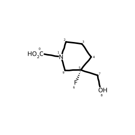 O=C(O)N1CCC[C@@](F)(CO)C1